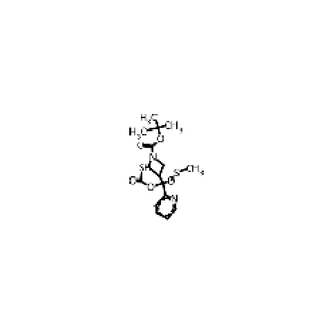 CSOC(OC(=O)S)(c1ccccn1)C1CN(C(=O)OC(C)(C)C)C1